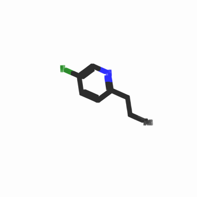 CC(=O)CCc1ccc(F)cn1